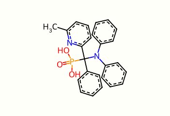 Cc1cccc(C(c2ccccc2)(N(c2ccccc2)c2ccccc2)P(=O)(O)O)n1